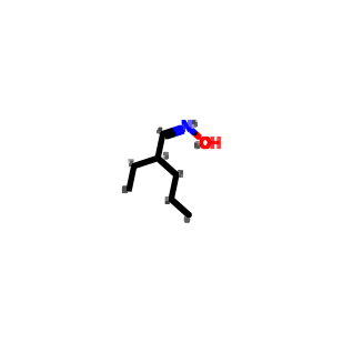 CCCC(/C=N\O)CC